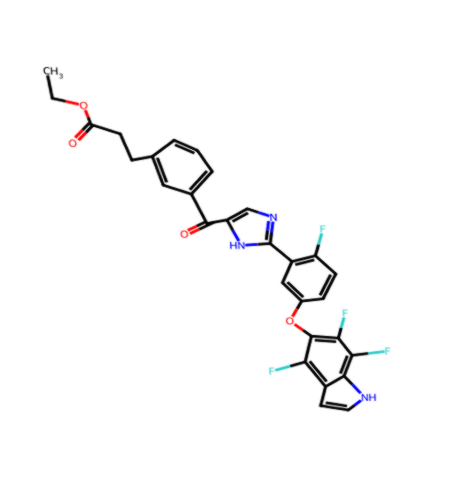 CCOC(=O)CCc1cccc(C(=O)c2cnc(-c3cc(Oc4c(F)c(F)c5[nH]ccc5c4F)ccc3F)[nH]2)c1